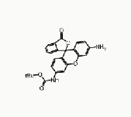 CC(C)(C)OC(=O)Nc1ccc2c(c1)Oc1cc(N)ccc1C21OC(=O)c2ccccc21